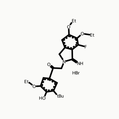 Br.CCOc1cc(C(=O)CN2Cc3cc(OCC)c(OCC)c(F)c3C2=N)cc(C(C)(C)C)c1O